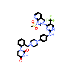 CN(c1ncccc1CNc1nc(Nc2ccc(N3CCN(Cc4ccccc4N4CCC(=O)NC4=O)CC3)cc2)ncc1C(F)(F)F)S(C)(=O)=O